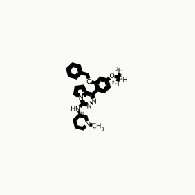 [2H]C([2H])([2H])Oc1ccc(-c2nnc(N[C@@H]3CCCN(C)C3)n3cccc23)c(OCc2ccccc2)c1